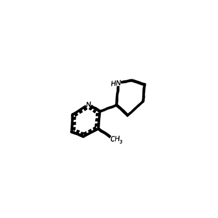 Cc1cccnc1C1CCCCN1